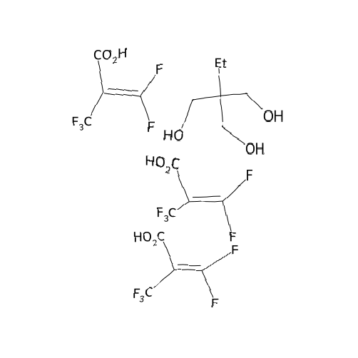 CCC(CO)(CO)CO.O=C(O)C(=C(F)F)C(F)(F)F.O=C(O)C(=C(F)F)C(F)(F)F.O=C(O)C(=C(F)F)C(F)(F)F